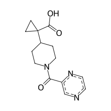 O=C(c1cnccn1)N1CCC(C2(C(=O)O)CC2)CC1